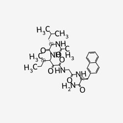 CC[C@H](C)C(NC(=O)[C@H](CC(C)C)NC(C)=O)C(=O)C(=O)NCC(=O)N[C@@H](Cc1ccc2ccccc2c1)C(N)=O